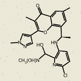 Cc1cc([C@@H](C)Nc2ccc(Cl)nc2C(O)N(C)O)c2oc(-c3cnn(C)c3)c(C)c(=O)c2c1